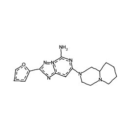 Nc1nc(N2CCN3CCCCC3C2)cc2nc(-c3ccco3)nn12